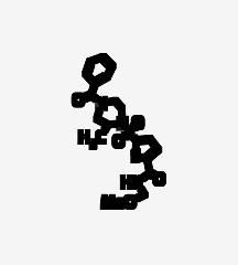 COCNC(=O)c1ccc(S(=O)(=O)N2CCN(C(=O)c3ccccc3)CC2C)s1